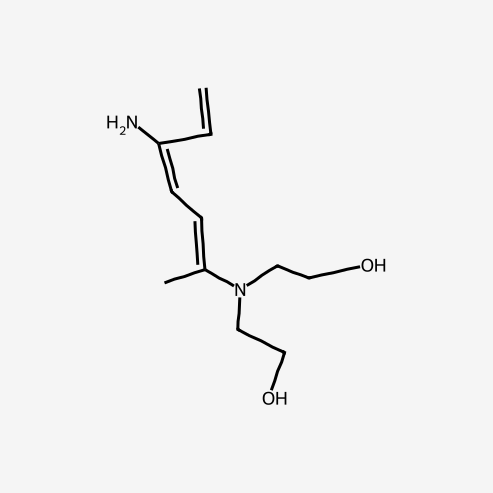 C=C/C(N)=C\C=C(/C)N(CCO)CCO